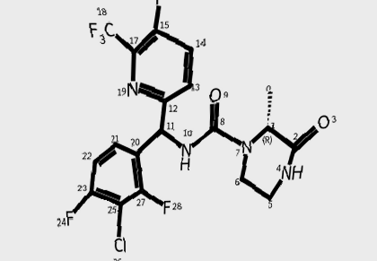 C[C@@H]1C(=O)NCCN1C(=O)NC(c1ccc(F)c(C(F)(F)F)n1)c1ccc(F)c(Cl)c1F